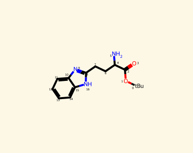 CC(C)(C)OC(=O)C(N)CCc1nc2ccccc2[nH]1